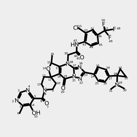 Cc1ncnc(C(=O)N2CCC3(CC2)OC(C)c2c3c(=O)n3nc(-c4ccc(C5(N(C)C)CC5)cc4)nc3n2CC(=O)Nc2ccc(C(F)(F)F)cc2Cl)c1O